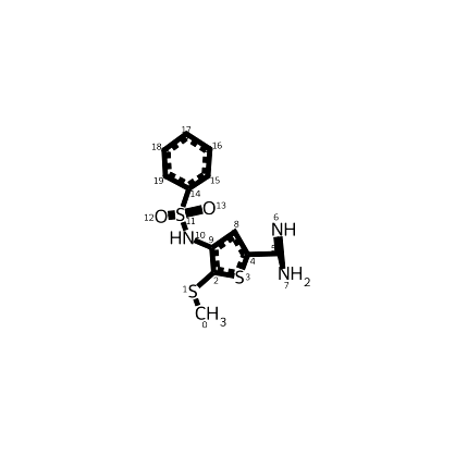 CSc1sc(C(=N)N)cc1NS(=O)(=O)c1ccccc1